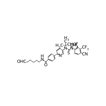 CN(C(=S)N(c1ccc(-c2ccc(C(=O)NCCCCCC=O)cc2)nc1)C(C)(C)C=O)c1ccc(C#N)c(C(F)(F)F)c1F